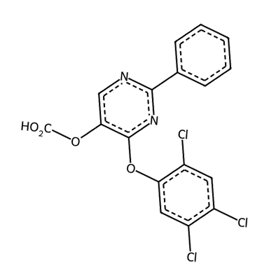 O=C(O)Oc1cnc(-c2ccccc2)nc1Oc1cc(Cl)c(Cl)cc1Cl